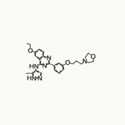 CCOc1ccc2nc(-c3cccc(OCCCN4CCOCC4)c3)nc(Nc3cn[nH]c3C)c2c1